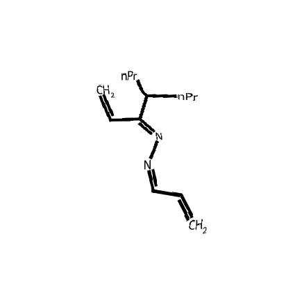 C=C/C=N\N=C(/C=C)C(CCC)CCC